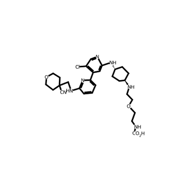 N#CC1(CNc2cccc(-c3cc(N[C@H]4CC[C@H](NCCOCCNC(=O)O)CC4)ncc3Cl)n2)CCOCC1